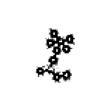 C1=C(c2ccccc2)NC(c2ccc(-c3ccc(C4=C(c5ccccc5)C(c5ccccc5)NC(c5ccccc5)=C4c4ccccc4)cc3)cc2)NC1c1cccc(-c2ccccc2)c1